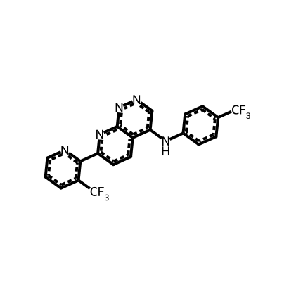 FC(F)(F)c1ccc(Nc2cnnc3nc(-c4ncccc4C(F)(F)F)ccc23)cc1